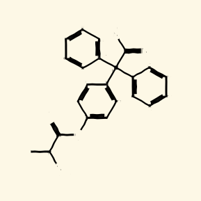 CC(N)C(=O)Oc1ccc(C(C(=N)N)(c2ccccc2)c2ccccc2)cc1